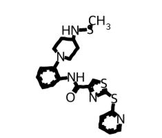 CSNC1CCN(c2ccccc2NC(=O)c2csc(Sc3ccccn3)n2)CC1